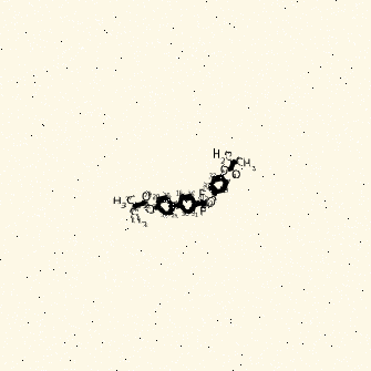 C=C(C)C(=O)Oc1ccc(OC(F)(F)c2ccc(-c3ccc(OC(=O)C(=C)C)cc3)cc2)cc1